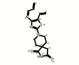 C=C/C=N\c1nc(N2CCC3(CC2)CC(=O)NC3=O)sc1C=C